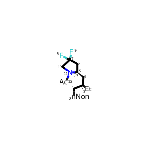 CCCCCCCCCCC(CC)C[C@@H]1CC(F)(F)CN1C(C)=O